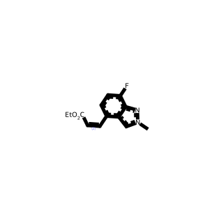 CCOC(=O)/C=C\c1ccc(F)c2nn(C)cc12